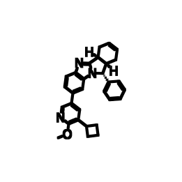 COc1ncc(-c2ccc3nc4n(c3c2)[C@@H](c2ccccc2)[C@H]2CC=CC[C@@H]42)cc1C1CCC1